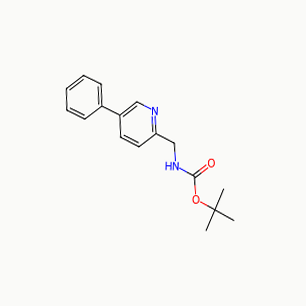 CC(C)(C)OC(=O)NCc1ccc(-c2ccccc2)cn1